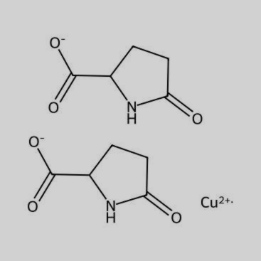 O=C1CCC(C(=O)[O-])N1.O=C1CCC(C(=O)[O-])N1.[Cu+2]